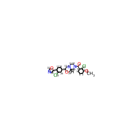 COc1cccc(C(=O)N2CCN3C[C@@H](c4ccc(-c5cnco5)c(Cl)c4)OC[C@@H]3C2)c1Cl